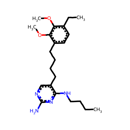 CCCCNc1nc(N)ncc1CCCCc1ccc(CC)c(OC)c1OC